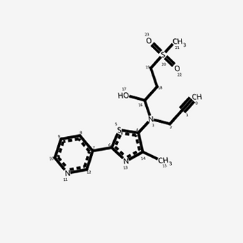 C#CCN(c1sc(-c2cccnc2)nc1C)C(O)CCS(C)(=O)=O